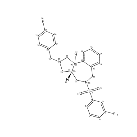 O=S(=O)(c1cccc(F)c1)N1Cc2ccccc2[C@@H]2CN(Cc3ccc(F)cc3)C[C@H]2C1